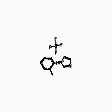 Cc1ccccc1[NH+]1C=CN=C1.F[B-](F)(F)F